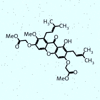 COC(=O)COc1cc2oc3cc(OCC(=O)OC)c(OC)c(CC=C(C)C)c3c(=O)c2c(O)c1CC=C(C)C